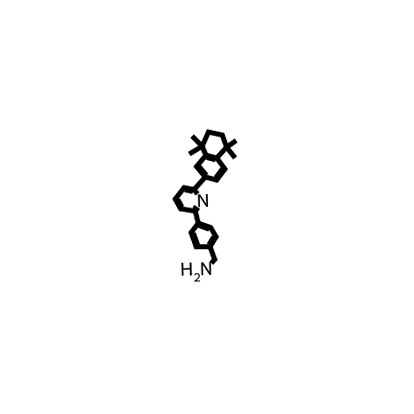 CC1(C)CCC(C)(C)c2cc(-c3cccc(-c4ccc(CN)cc4)n3)ccc21